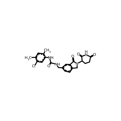 Cc1cc(C)c(NC(=O)NCc2ccc3c(c2)C(=O)N(C2CCC(=O)NC2=O)C3)cc1Cl